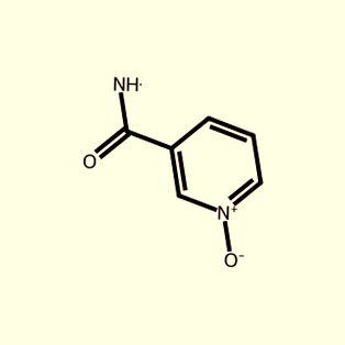 [NH]C(=O)c1ccc[n+]([O-])c1